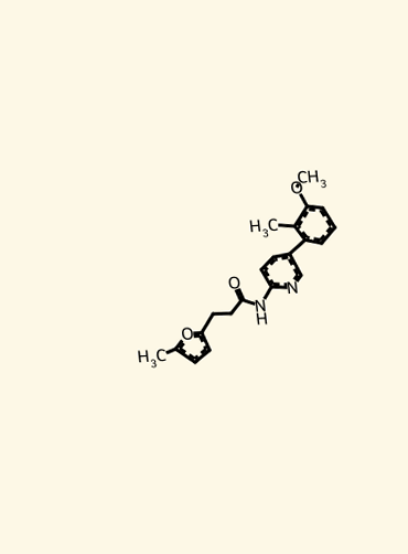 COc1cccc(-c2ccc(NC(=O)CCc3ccc(C)o3)nc2)c1C